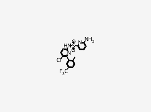 Cc1ccc(C(F)(F)F)cc1-c1nc(NS(=O)(=O)c2cccc(N)n2)ccc1Cl